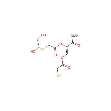 COC(=O)C(=COC(=O)CS)OC(=O)CS.OCCO